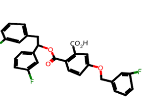 O=C(O)c1cc(OCc2cccc(F)c2)ccc1C(=O)OC(Cc1cccc(F)c1)c1cccc(F)c1